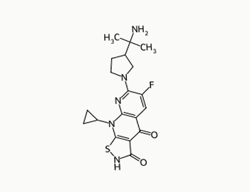 CC(C)(N)C1CCN(c2nc3c(cc2F)c(=O)c2c(=O)[nH]sc2n3C2CC2)C1